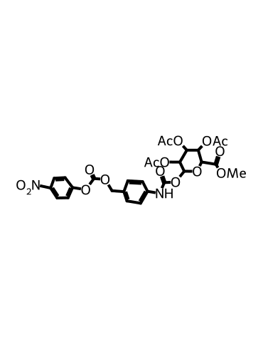 COC(=O)C1OC(OC(=O)Nc2ccc(COC(=O)Oc3ccc([N+](=O)[O-])cc3)cc2)C(OC(C)=O)C(OC(C)=O)C1OC(C)=O